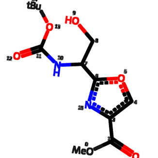 COC(=O)c1coc(C(CO)NC(=O)OC(C)(C)C)n1